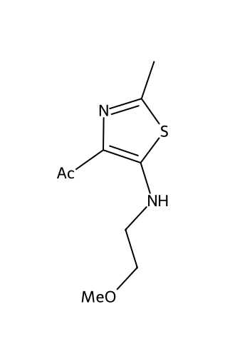 COCCNc1sc(C)nc1C(C)=O